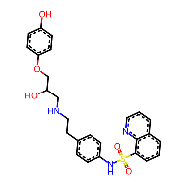 O=S(=O)(Nc1ccc(CCNCC(O)COc2ccc(O)cc2)cc1)c1cccc2cccnc12